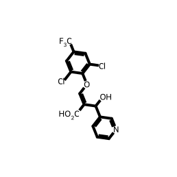 O=C(O)C(=COc1c(Cl)cc(C(F)(F)F)cc1Cl)C(O)c1cccnc1